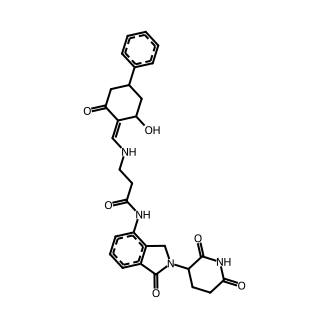 O=C1CCC(N2Cc3c(NC(=O)CCN/C=C4/C(=O)CC(c5ccccc5)CC4O)cccc3C2=O)C(=O)N1